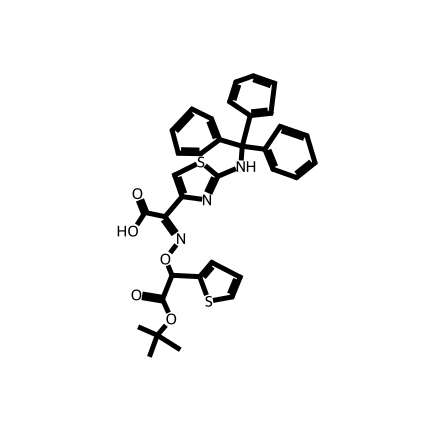 CC(C)(C)OC(=O)C(ON=C(C(=O)O)c1csc(NC(c2ccccc2)(c2ccccc2)c2ccccc2)n1)c1cccs1